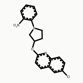 O=[N+]([O-])c1ccccc1N1CCC(Oc2ccc3cc(Cl)ccc3n2)C1